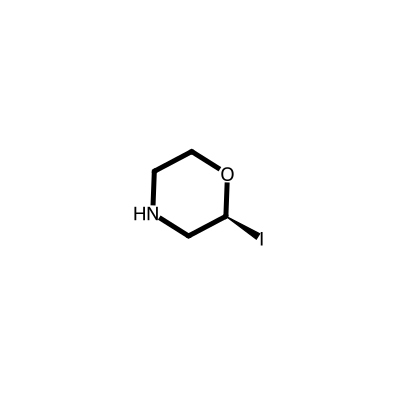 I[C@H]1CNCCO1